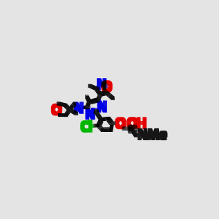 CNC[C@@H](O)COc1ccc(Cl)c(-c2nc(-c3c(C)noc3C)c(C)c(N3CC4(CCOCC4)C3)n2)c1